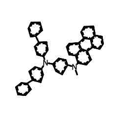 CN(c1ccc(N(c2ccc(-c3ccccc3)cc2)c2ccc(-c3ccccc3)cc2)cc1)c1ccc2c3cccc4cccc(c5cccc1c52)c43